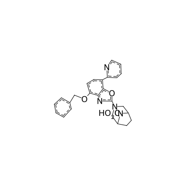 O=C(O)N1C2CCC1CN(c1nc3c(OCc4ccccc4)ccc(-c4ccccn4)c3o1)C2